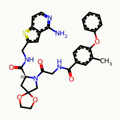 Cc1cc(C(=O)NCC(=O)N2CC3(C[C@H]2C(=O)NCc2cc4c(N)nccc4s2)OCCO3)ccc1Oc1ccccc1